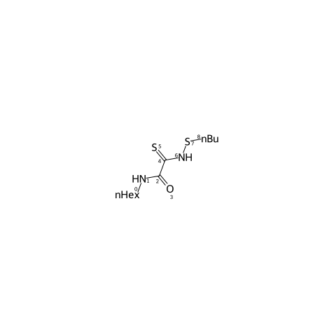 CCCCCCNC(=O)C(=S)NSCCCC